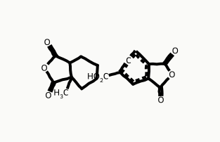 CC12CCCCC1C(=O)OC2=O.O=C(O)c1ccc2c(c1)C(=O)OC2=O